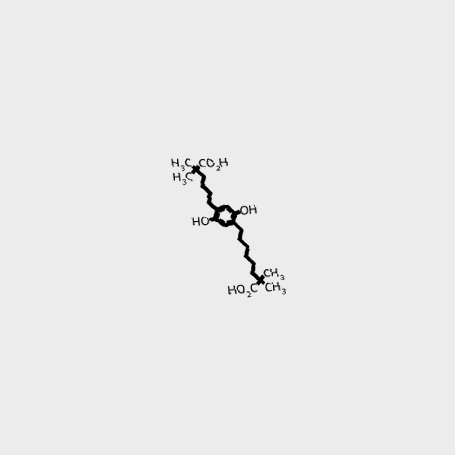 CC(C)(CCCCCCc1cc(O)c(CCCCC(C)(C)C(=O)O)cc1O)C(=O)O